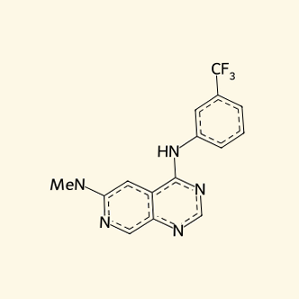 CNc1cc2c(Nc3cccc(C(F)(F)F)c3)ncnc2cn1